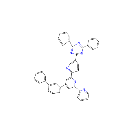 c1ccc(-c2cccc(-c3cc(-c4ccccn4)nc(-c4ccc(-c5nc(-c6ccccc6)nc(-c6ccccc6)n5)cn4)c3)c2)cc1